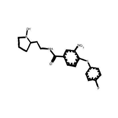 O=C(NCCC1CCCN1O)c1ccc(Sc2ccc(F)cc2)c([N+](=O)[O-])c1